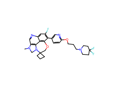 CN1CN2c3c1cnc1cc(F)c(-c4ccc(OCCCN5CCC(F)(F)CC5)nc4)c(c31)OCC21CCC1